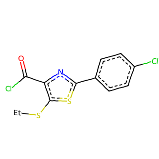 CCSc1sc(-c2ccc(Cl)cc2)nc1C(=O)Cl